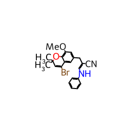 COc1cc(CC(C#N)=CNc2ccccc2)cc2c1OC(C)(C)C=C2Br